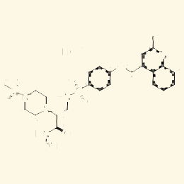 Cc1cc(COc2ccc(S(=O)(=O)NC[C@@H](C(=O)NO)N3CCN(S(C)(=O)=O)CC3)cc2)c2ccccc2n1.Cl